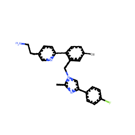 Cc1nc(-c2ccc(F)cc2)cn1Cc1cc(C#N)ccc1-c1ccc(CCN)cn1